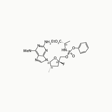 CCOC(=O)[C@H](C)N[P@](=O)(OC[C@]1(F)C[C@H](C)[C@H](n2cnc3c(NC)nc(N)nc32)O1)Oc1ccccc1